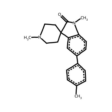 Cc1ccc(-c2ccc3c(c2)C2(CCN(C)CC2)C(=O)N3C)cc1